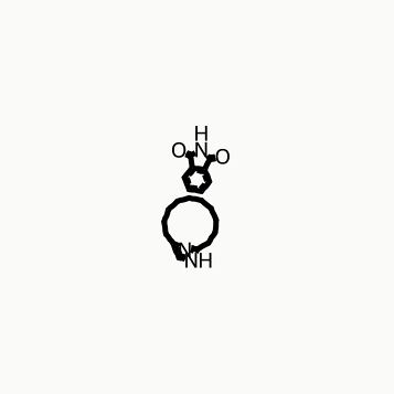 O=C1NC(=O)c2ccccc21.c1[nH]c2nc1CCCCCCCCCC2